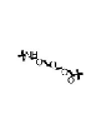 CC(C)(C)NCCOCCOCCOCC(=O)C(C)(C)C